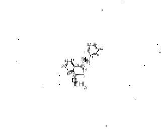 COc1ccc(N=Nc2ccccc2)c2ccccc12